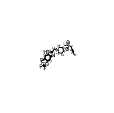 CC#CCS(=O)(=O)C[C@@H]1CCCN(Cc2nc3cc(OC(F)(F)F)c(F)cc3[nH]2)C1